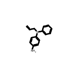 C=CCN(c1ccccc1)c1ccc(N)cc1